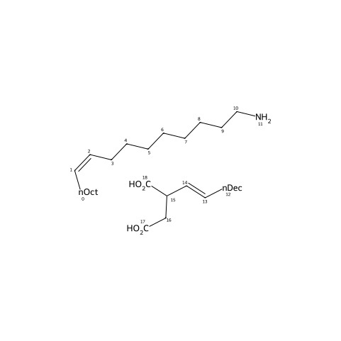 CCCCCCCC/C=C\CCCCCCCCN.CCCCCCCCCC/C=C/C(CC(=O)O)C(=O)O